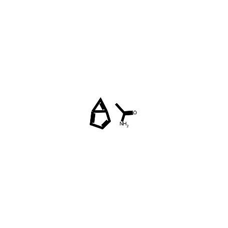 CC(N)=O.c1cc2cc-2c1